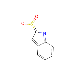 O=S(=O)=C1C=c2ccccc2=N1